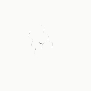 CCCCC(CC)C(=O)O.CCCCCCC